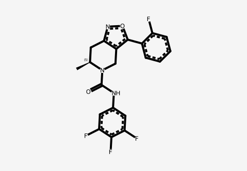 C[C@H]1Cc2noc(-c3ccccc3F)c2CN1C(=O)Nc1cc(F)c(F)c(F)c1